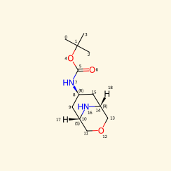 CC(C)(C)OC(=O)N[C@@H]1C[C@H]2COC[C@@H](C1)N2